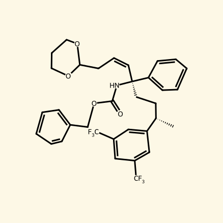 C[C@@H](CC[C@@](/C=C\CC1OCCCO1)(NC(=O)OCc1ccccc1)c1ccccc1)c1cc(C(F)(F)F)cc(C(F)(F)F)c1